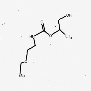 CC(CO)OC(=O)NCCOCC(C)(C)C